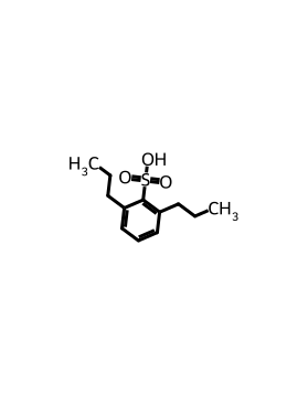 CCCc1cccc(CCC)c1S(=O)(=O)O